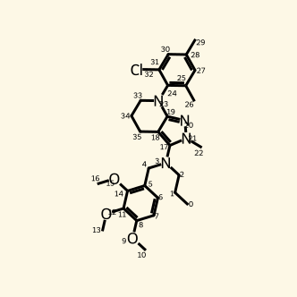 CCCN(Cc1ccc(OC)c(OC)c1OC)c1c2c(nn1C)N(c1c(C)cc(C)cc1Cl)CCC2